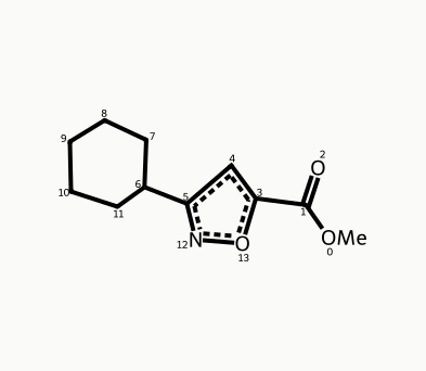 COC(=O)c1cc(C2CCCCC2)no1